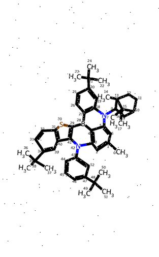 Cc1cc2c3c(c1)N(C1CC4CCC1(C)C4(C)C)c1cc(C(C)(C)C)ccc1B3c1sc3ccc(C(C)(C)C)cc3c1N2c1cccc(C(C)(C)C)c1